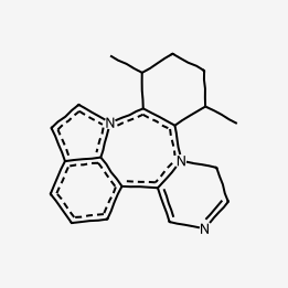 CC1CCC(C)c2c1n1c(c3cccc4ccn2c43)=CN=CC1